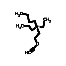 C#COCC[N+](CC)(CCC)CCCC